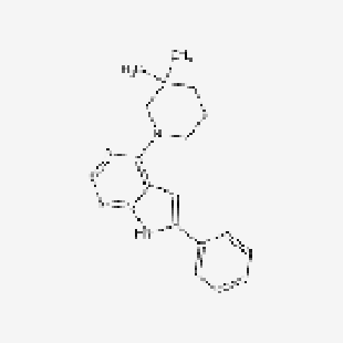 CC1(C)CCCN(c2ncnc3[nH]c(-c4ccccc4)cc23)C1